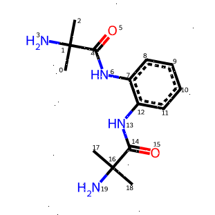 CC(C)(N)C(=O)Nc1ccccc1NC(=O)C(C)(C)N